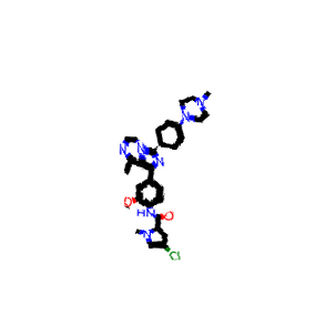 COc1cc(-c2nc([C@H]3CC[C@H](N4CCN(C)CC4)CC3)n3ccnc(C)c23)ccc1NC(=O)C1CC(Cl)=CN1C